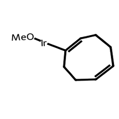 C[O][Ir][C]1=CCCC=CCC1